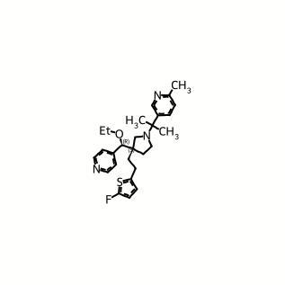 CCO[C@H](c1ccncc1)[C@@]1(CCc2ccc(F)s2)CCN(C(C)(C)c2ccc(C)nc2)C1